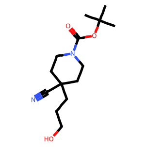 CC(C)(C)OC(=O)N1CCC(C#N)(CCCO)CC1